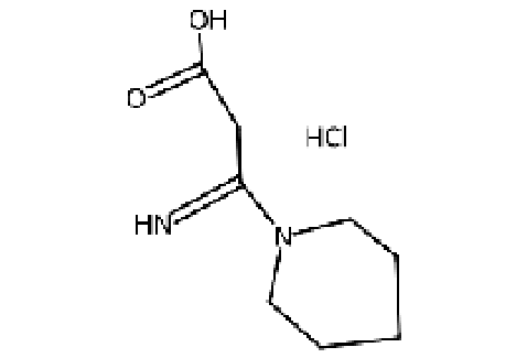 Cl.N=C(CC(=O)O)N1CCCCC1